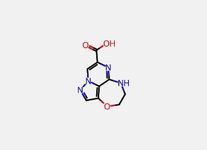 O=C(O)c1cn2ncc3c2c(n1)NCCO3